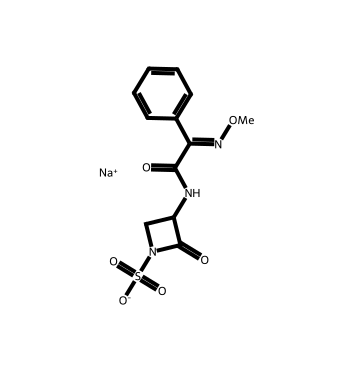 CO/N=C(/C(=O)NC1CN(S(=O)(=O)[O-])C1=O)c1ccccc1.[Na+]